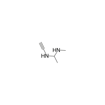 C#CNC(C)NC